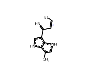 CC/C=C\C(=N)c1c[nH]c2c(C)c[nH]c12